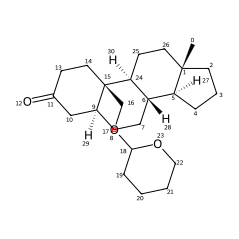 C[C@@]12CCC[C@H]1[C@@H]1CC[C@H]3CC(=O)CC[C@]3(COC3CCCCO3)[C@H]1CC2